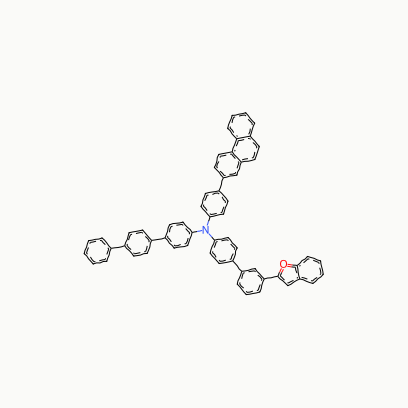 c1ccc(-c2ccc(-c3ccc(N(c4ccc(-c5cccc(-c6cc7ccccc7o6)c5)cc4)c4ccc(-c5ccc6c(ccc7ccccc76)c5)cc4)cc3)cc2)cc1